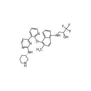 Cc1ccc2c(NC[C@H](O)C(F)(F)F)cccc2c1Oc1ncccc1-c1ccnc(N[C@H]2CCCNC2)n1